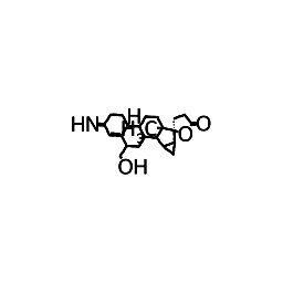 C[C@]12CCC3C(CC(CO)C4=CC(=N)CC[C@@H]43)C1C1CC1[C@@]21CCC(=O)O1